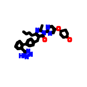 CCCCc1nc(C)n(-c2ncc(OC3CCC(=O)CC3)cn2)c(=O)c1Cc1ccc(-c2ccccc2-c2nnn[nH]2)cc1